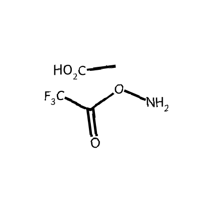 CC(=O)O.NOC(=O)C(F)(F)F